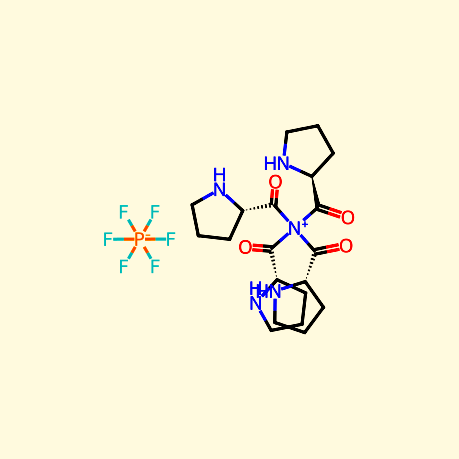 F[P-](F)(F)(F)(F)F.O=C([C@@H]1CCCN1)[N+](C(=O)[C@@H]1CCCN1)(C(=O)[C@@H]1CCCN1)C(=O)[C@@H]1CCCN1